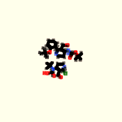 CC(C)(C)N(C(=O)O)c1ccnc(Cl)c1C=O.[2H]C([2H])([2H])Oc1ccccc1-c1nccc(NC(=O)OC(C)(C)C)c1C=O